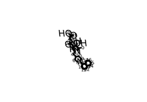 Cc1nc(CC2CCN(c3cccc4ccccc34)CC2)nc(C(=O)NCC(=O)O)c1O